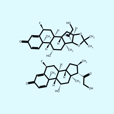 CC1(C)O[C@@H]2C[C@H]3[C@@H]4C[C@H](F)C5=CC(=O)C=C[C@]5(C)[C@H]4[C@@H](O)C[C@]3(C)[C@]2(C(=O)CO)O1.C[C@@H]1C[C@H]2[C@@H]3C[C@H](F)C4=CC(=O)C=C[C@]4(C)[C@H]3[C@@H](O)C[C@]2(C)[C@H]1C(=O)CO